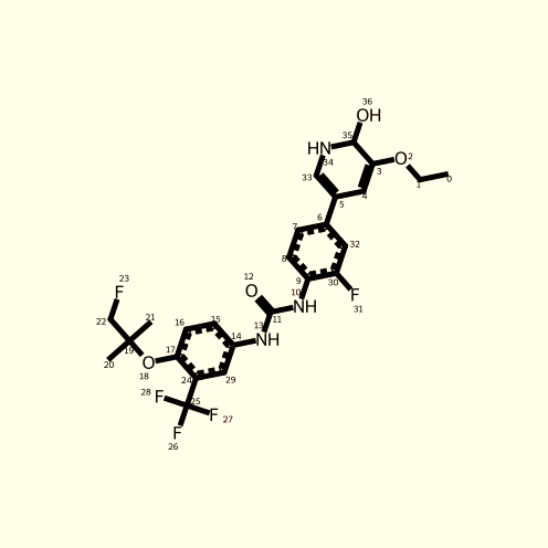 CCOC1=CC(c2ccc(NC(=O)Nc3ccc(OC(C)(C)CF)c(C(F)(F)F)c3)c(F)c2)=CNC1O